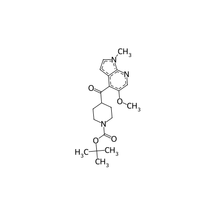 COc1cnc2c(ccn2C)c1C(=O)C1CCN(C(=O)OC(C)(C)C)CC1